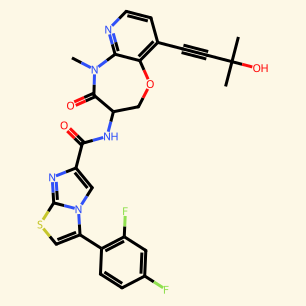 CN1C(=O)C(NC(=O)c2cn3c(-c4ccc(F)cc4F)csc3n2)COc2c(C#CC(C)(C)O)ccnc21